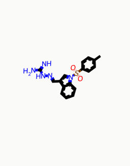 Cc1ccc(S(=O)(=O)n2cc(C=NNC(=N)N)c3ccccc32)cc1